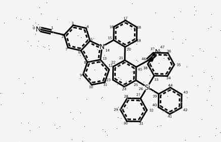 N#Cc1ccc2c(c1)c1ccccc1n2-c1ccccc1-c1cccc([Si](c2ccccc2)(c2ccccc2)c2ccccc2)c1C#N